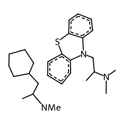 CC(CN1c2ccccc2Sc2ccccc21)N(C)C.CNC(C)CC1CCCCC1